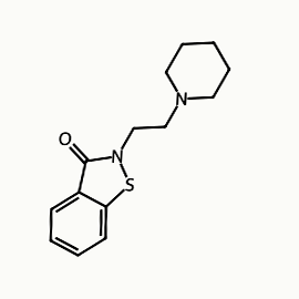 O=c1c2ccccc2sn1CCN1CCCCC1